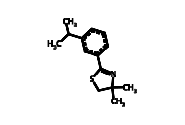 CC(C)c1cccc(C2=NC(C)(C)CS2)c1